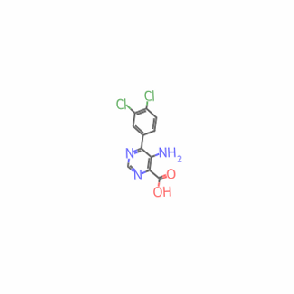 Nc1c(C(=O)O)ncnc1-c1ccc(Cl)c(Cl)c1